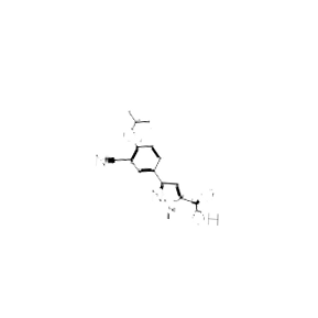 CC(C)Oc1ccc(-c2cc(C(=O)O)n(C)n2)cc1C#N